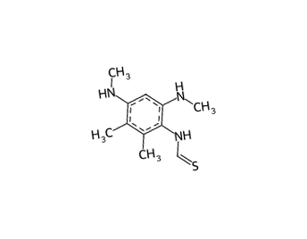 CNc1cc(NC)c(NC=S)c(C)c1C